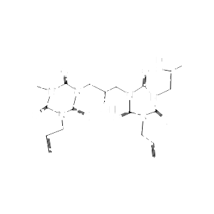 C=CCn1c(=O)n(C)c(=O)n(CC(O)Cn2c(=O)n(CC=C)c(=O)n(CC(C)O)c2=O)c1=O